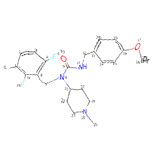 Cc1ccc(F)c(CN(C(=O)NCc2ccc(OC(C)C)cc2)C2CCN(C)CC2)c1F